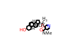 CNC(=O)c1ccncc1OC(C)[C@H]1CC[C@H]2[C@@H]3CC=C4C[C@@H](O)CC[C@]4(C)[C@H]3CC[C@]12C